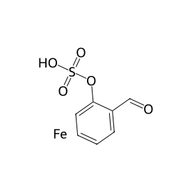 O=Cc1ccccc1OS(=O)(=O)O.[Fe]